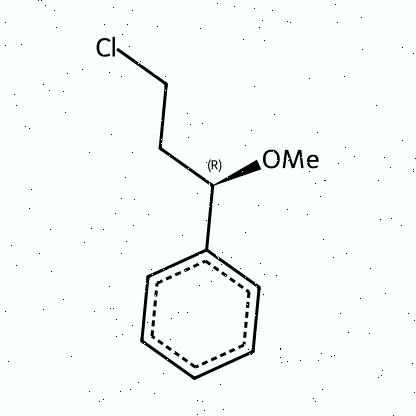 CO[C@H](CCCl)c1ccccc1